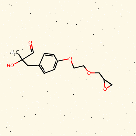 CC(O)(C=O)Cc1ccc(OCCOCC2CO2)cc1